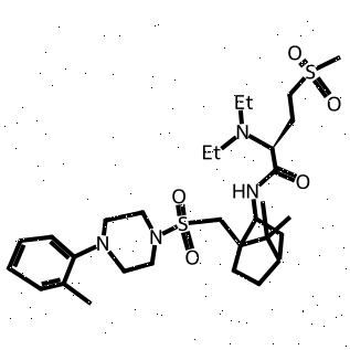 CCN(CC)[C@@H](CCS(C)(=O)=O)C(=O)NC1CC2CCC1(CS(=O)(=O)N1CCN(c3ccccc3C)CC1)C2(C)C